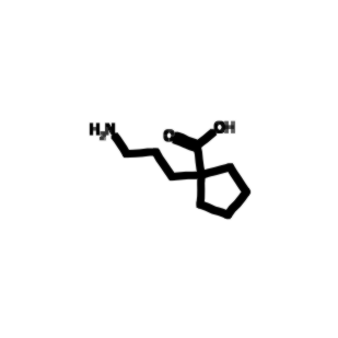 NCCCC1(C(=O)O)CCCC1